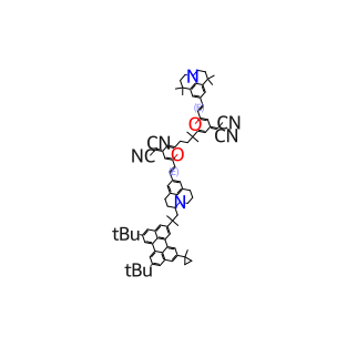 CC(C)(CCC1=CC(=C(C#N)C#N)C=C(/C=C/c2cc3c4c(c2)CCC(CC(C)(C)c2cc5cc(C(C)(C)C)cc6c7cc(C(C)(C)C)cc8cc(C9(C)CC9)cc(c(c2)c56)c87)N4CCC3)O1)C1=CC(=C(C#N)C#N)C=C(/C=C/c2cc3c4c(c2)C(C)(C)CCN4CCC3(C)C)O1